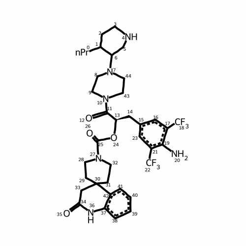 CCCC1CCNCC1N1CCN(C(=O)[C@@H](Cc2cc(C(F)(F)F)c(N)c(C(F)(F)F)c2)OC(=O)N2CCC3(CC2)CC(=O)Nc2ccccc23)CC1